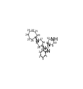 c1ccc2c(c1)nc(N1CCNCC1)n2C1CCN(C2CCCCCCC2)CC1